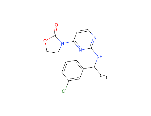 CC(Nc1nccc(N2CCOC2=O)n1)c1cccc(Cl)c1